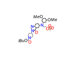 COc1cc(OC)cc(N(CCOS(C)(=O)=O)c2ccc3ncn(C4CCN(C(=O)OCC(C)C)CC4)c(=O)c3c2)c1